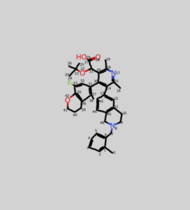 Cc1ccccc1CN1CCc2cc(-c3c(C)nc(C)c(C(OC(C)(C)C)C(=O)O)c3-c3cc(F)c4c(c3C)CCCO4)ccc2C1